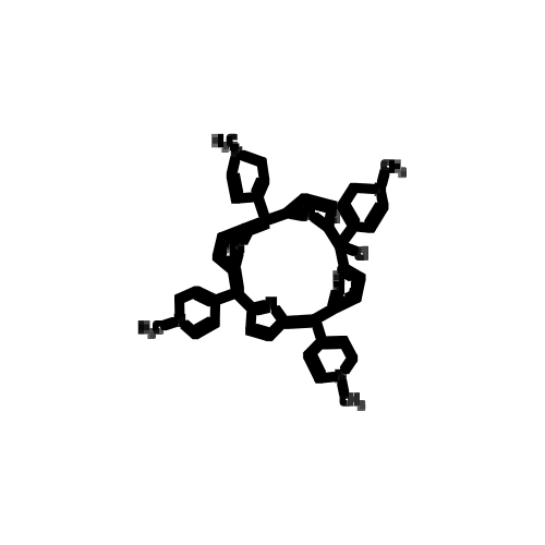 CN1C=CC(C2=C3C=CC(=N3)C(C3=CCN(C)C=C3)=c3ccc([nH]3)=C(C3=CCN(C)C=C3)C3=NC(Cl)(C=C3)C(Cl)(C3=CCN(C)C=C3)c3ccc2[nH]3)=CC1